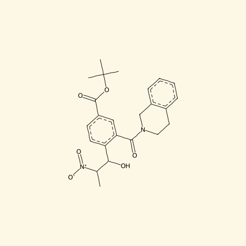 CC(C(O)c1ccc(C(=O)OC(C)(C)C)cc1C(=O)N1CCc2ccccc2C1)[N+](=O)[O-]